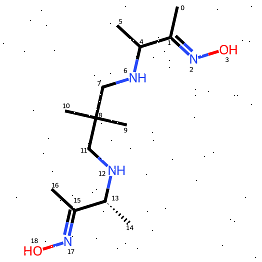 C/C(=N\O)C(C)NCC(C)(C)CN[C@H](C)/C(C)=N/O